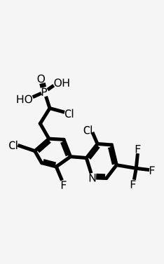 O=P(O)(O)C(Cl)Cc1cc(-c2ncc(C(F)(F)F)cc2Cl)c(F)cc1Cl